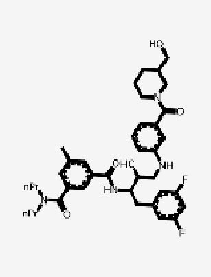 CCCN(CCC)C(=O)c1cc(C)cc(C(=O)NC(Cc2cc(F)cc(F)c2)C(O)CNc2cccc(C(=O)N3CCCC(CO)C3)c2)c1